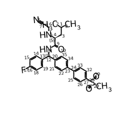 CC(C)C[C@H](NCC#N)C(=O)N[C@H](c1ccc(F)cc1)c1ccc(-c2ccc(S(C)(=O)=O)cc2)cc1